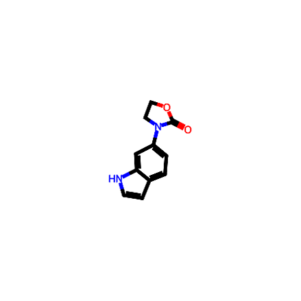 O=C1OCCN1c1ccc2cc[nH]c2c1